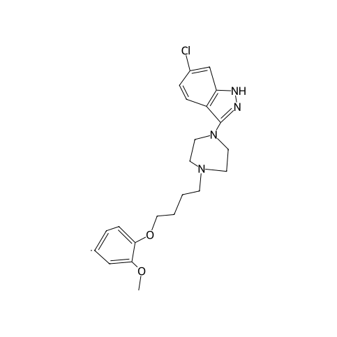 COc1c[c]ccc1OCCCCN1CCN(c2n[nH]c3cc(Cl)ccc23)CC1